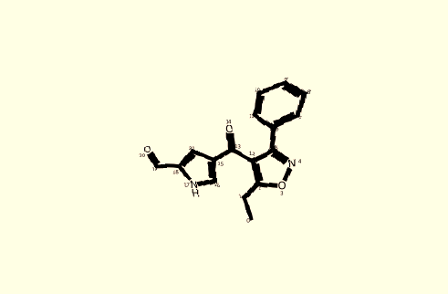 CCc1onc(-c2ccccc2)c1C(=O)c1c[nH]c(C=O)c1